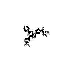 C[C@@H](N)C(=O)N1CCC(n2cnc3c(-c4cnc(N)nc4)nc(N4CCOCC4)nc32)C1